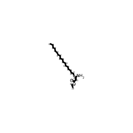 CCCCCCCCCCCCCCCCCCS/C(N)=C\C(=O)OCC